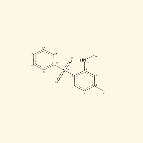 CNc1cc(C)ccc1S(=O)(=O)c1ccccc1